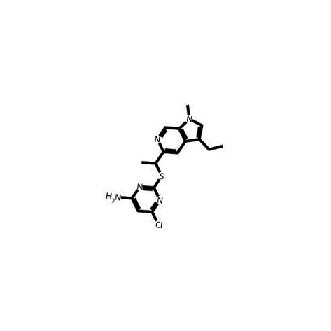 CCc1cn(C)c2cnc(C(C)Sc3nc(N)cc(Cl)n3)cc12